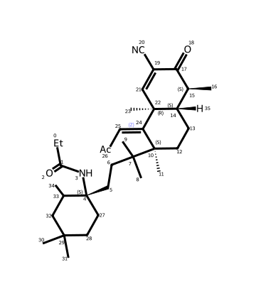 CCC(=O)N[C@]1(CCC(C)(C)[C@]2(C)CC[C@H]3[C@H](C)C(=O)C(C#N)=C[C@]3(C)/C2=C/C(C)=O)CCC(C)(C)CC1C